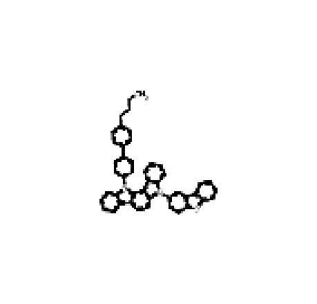 CCCCc1ccc(-c2ccc(-n3c4ccccc4c4ccc5c(c6ccccc6n5-c5ccc6oc7ccccc7c6c5)c43)cc2)cc1